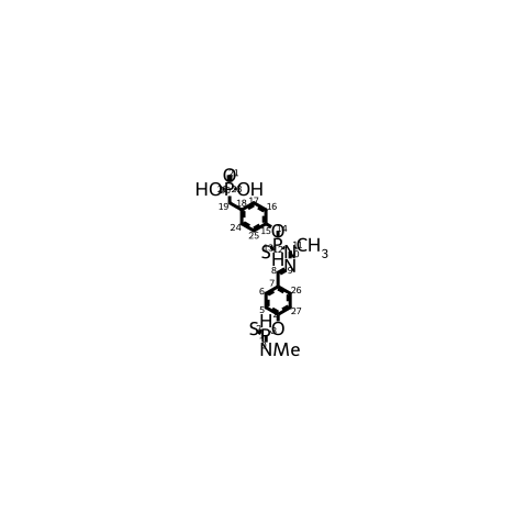 CN[PH](=S)Oc1ccc(/C=N/N(C)[PH](=S)Oc2ccc(CP(=O)(O)O)cc2)cc1